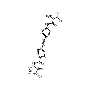 C[C@@H](O)[C@H](N)C(=O)Nc1ccc(C#Cc2ccc(C(=O)N[C@@H](CN)C(=O)NO)cc2)cc1